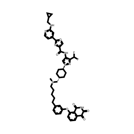 CN(CCCCCc1cccc(Oc2cccc3c2C(=O)NC(=O)C3=O)c1)C[C@H]1CC[C@H](n2cc(NC(=O)c3coc(-c4ccnc(NCC5CC5)c4)n3)c(C(F)F)n2)CC1